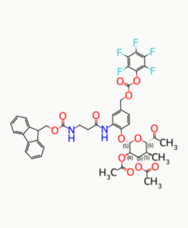 CC(=O)O[C@H]1[C@H](Oc2ccc(COC(=O)Oc3c(F)c(F)c(F)c(F)c3F)cc2NC(=O)CCNC(=O)OCC2c3ccccc3-c3ccccc32)O[C@H](C(C)=O)[C@@H](C)[C@@H]1OC(C)=O